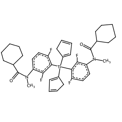 CN(C(=O)C1CCCCC1)c1ccc(F)[c]([Ti]([C]2=CC=CC2)([C]2=CC=CC2)[c]2c(F)ccc(N(C)C(=O)C3CCCCC3)c2F)c1F